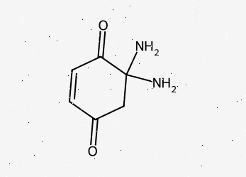 NC1(N)CC(=O)C=CC1=O